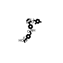 Cc1ccc([C@@H](C)Oc2nccnc2-c2ccc(NC(=O)Cc3ccc(C(F)(F)C(C)O)cc3)cc2)c(C)c1